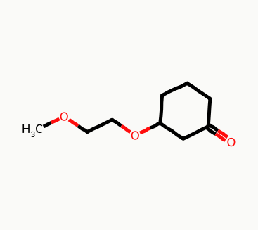 COCCOC1CCCC(=O)C1